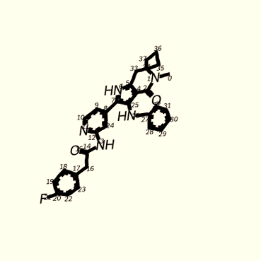 CN1C(=O)c2c([nH]c(-c3ccnc(NC(=O)Cc4ccc(F)cc4)c3)c2Nc2ccccc2)CC12CCC2